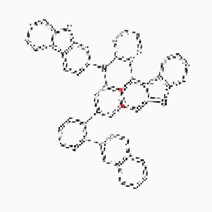 c1cc(-c2ccccc2-c2ccc3ccccc3c2)cc(N(c2ccc3c(c2)oc2ccccc23)c2ccccc2-c2cccc3oc4ccccc4c23)c1